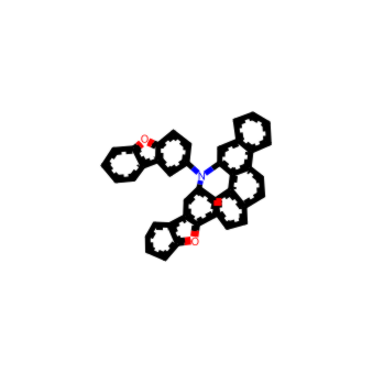 c1ccc2c(c1)cc(N(c1ccc3oc4ccccc4c3c1)c1ccc3oc4ccccc4c3c1)c1c3ccccc3ccc21